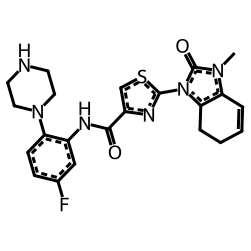 Cn1c2c(n(-c3nc(C(=O)Nc4cc(F)ccc4N4CCNCC4)cs3)c1=O)CCC=C2